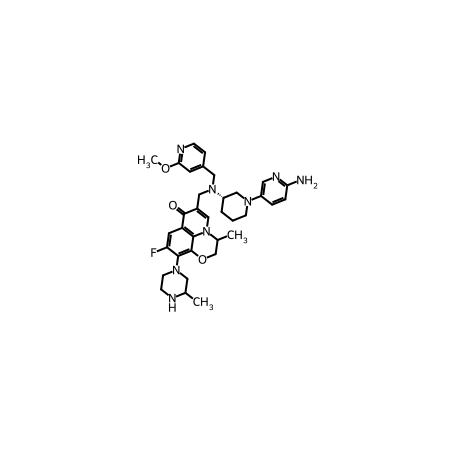 COc1cc(CN(Cc2cn3c4c(c(N5CCNC(C)C5)c(F)cc4c2=O)OCC3C)[C@H]2CCCN(c3ccc(N)nc3)C2)ccn1